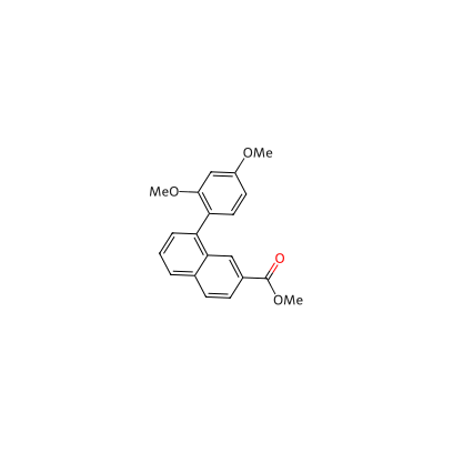 COC(=O)c1ccc2cccc(-c3ccc(OC)cc3OC)c2c1